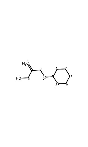 C=C(CO)COC1CCCCO1